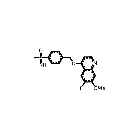 COc1cc2nccc(OCc3ccc(S(C)(=N)=O)cc3)c2cc1F